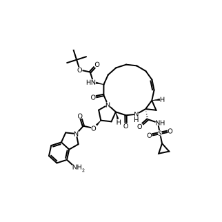 CC(C)(C)OC(=O)N[C@H]1CCCCC/C=C\[C@@H]2C[C@@]2(C(=O)NS(=O)(=O)C2CC2)NC(=O)[C@@H]2C[C@@H](OC(=O)N3Cc4cccc(N)c4C3)CN2C1=O